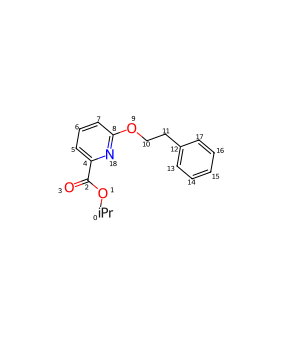 CC(C)OC(=O)c1cccc(OCCc2ccccc2)n1